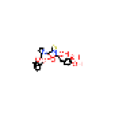 CC1(C)C2CCC1(C)C(OC(=O)C1CCCN1C(=O)C1CSCN1C(=O)C(O)Cc1ccc(O)c(O)c1)C2